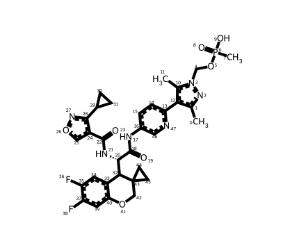 Cc1nn(COP(C)(=O)O)c(C)c1-c1ccc(NC(=O)[C@@H](NC(=O)c2conc2C2CC2)C2c3cc(F)c(F)cc3OCC23CC3)cn1